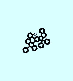 c1ccc(-c2c3ccccc3c(-c3cc4c(c5oc6ccccc6c35)-c3c(ccc5ccccc35)C4(c3ccccc3)c3ccccc3)c3ccccc23)cc1